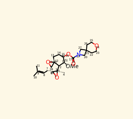 CO[C@H]1C([C@@]2(C)O[C@@H]2CC=C(C)C)[C@]2(CC[C@H]1OC(=O)N1CC3(CCOCC3)C1)CO2